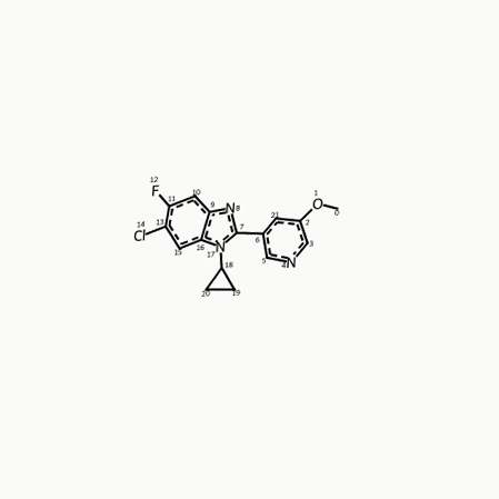 COc1cncc(-c2nc3cc(F)c(Cl)cc3n2C2CC2)c1